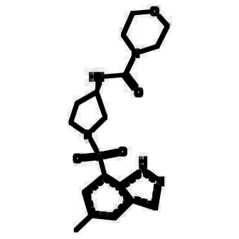 Cc1cc(S(=O)(=O)N2CC[C@@H](NC(=O)N3CCOCC3)C2)c2[nH]ncc2c1